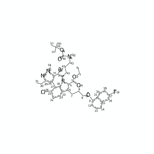 CCOC(=O)c1c(CCCOc2cccc3cc(F)ccc23)c2ccc(Cl)c(-c3c(CC)nn(C)c3CBr)c2n1CCCCN(C)C(=O)OC(C)(C)C